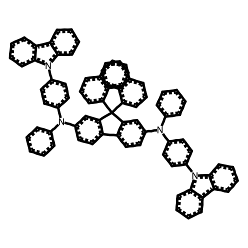 c1ccc(N(c2ccc(-n3c4ccccc4c4ccccc43)cc2)c2ccc3c(c2)C(c2cccc4ccccc24)(c2cccc4ccccc24)c2cc(N(c4ccccc4)c4ccc(-n5c6ccccc6c6ccccc65)cc4)ccc2-3)cc1